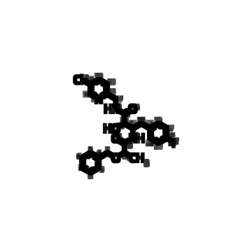 CC(OCc1ccccc1)C(=O)NC(Cc1ccc(F)cc1)C(O)C(=O)NCc1ccc(Cl)cn1